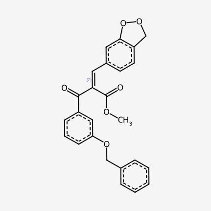 COC(=O)/C(=C\c1ccc2c(c1)OOC2)C(=O)c1cccc(OCc2ccccc2)c1